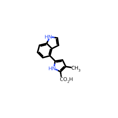 Cc1cc(-c2cccc3[nH]ccc23)[nH]c1C(=O)O